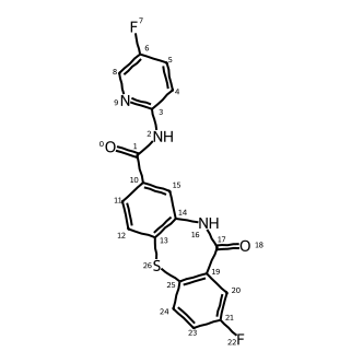 O=C(Nc1ccc(F)cn1)c1ccc2c(c1)NC(=O)c1cc(F)ccc1S2